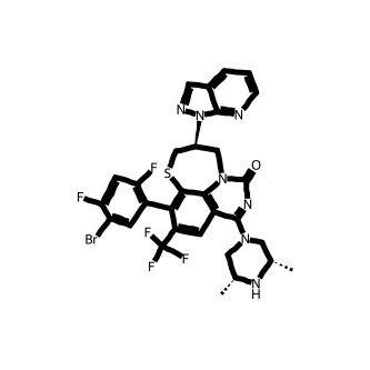 C[C@@H]1CN(c2nc(=O)n3c4c(c(-c5cc(Br)c(F)cc5F)c(C(F)(F)F)cc24)SC[C@@H](n2ncc4cccnc42)C3)C[C@H](C)N1